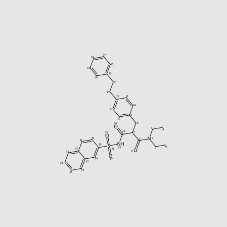 CCN(CC)C(=O)C(Cc1ccc(CCc2ccccc2)cc1)C(=O)NS(=O)(=O)c1ccc2ccccc2c1